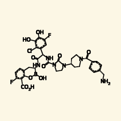 NCc1ccc(C(=O)N2CCC(N3CCN(C(=O)NC(C(=O)NC4Cc5ccc(F)c(C(=O)O)c5OB4O)c4cc(F)c(O)c(O)c4Cl)C3=O)CC2)cc1